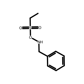 CCS(=O)(=O)ONCc1ccccc1